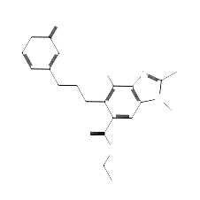 CCOC(=O)c1cc2c(nc(C)n2C)c(O)c1CCCC1=CC(=O)CC=C1